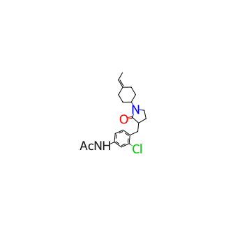 CC=C1CCC(N2CCC(Cc3ccc(NC(C)=O)cc3Cl)C2=O)CC1